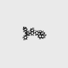 CC1(C)c2ccc(-c3ccc(-c4cc(-c5ccncc5)nc(-c5ccccc5)n4)c4ccccc34)cc2-c2ccc3ccccc3c21